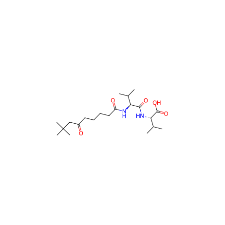 CC(C)[C@H](NC(=O)[C@@H](NC(=O)CCCCC(=O)CC(C)(C)C)C(C)C)C(=O)O